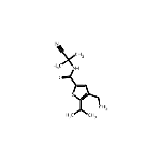 CCc1cc(C(=O)NC(C)(C)C#N)sc1C(C)C